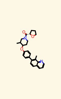 Cc1c(-c2ccc(OC3CCN(C(=O)[C@@H]4CCCO4)CC3C)cc2)ccc2cccnc12